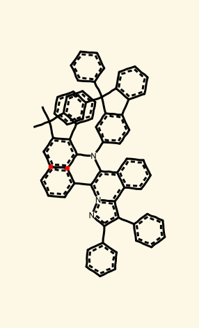 CC1(C)c2ccccc2-c2c(N(c3ccc4c(c3)C(c3ccccc3)(c3ccccc3)c3ccccc3-4)c3c(-c4ccccc4)n4nc(-c5ccccc5)c(-c5ccccc5)c4c4ccccc34)cccc21